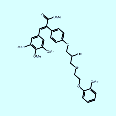 COC(=O)C(=Cc1cc(OC)c(OC)c(OC)c1)c1ccc(OCC(O)CNCCOc2ccccc2OC)cc1